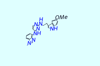 COc1ccc2[nH]cc(CCNc3nccc(Nc4cccc5c4ncn5C)n3)c2c1